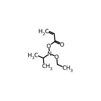 C=CC(=O)ON(OCC)C(C)C